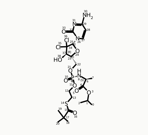 CC(C)OC(=O)[C@H](C)N[P@@](=O)(OCCSC(=O)C(C)(C)C)OC[C@H]1O[C@@H](n2ccc(N)nc2=O)C(Cl)(Cl)[C@@H]1O